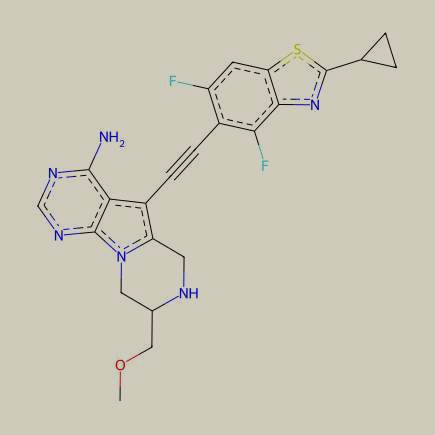 COCC1Cn2c(c(C#Cc3c(F)cc4sc(C5CC5)nc4c3F)c3c(N)ncnc32)CN1